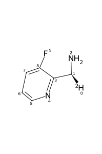 [2H][C@H](N)c1ncccc1F